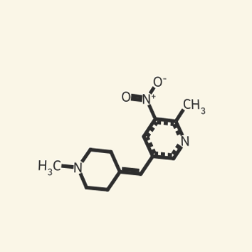 Cc1ncc(C=C2CCN(C)CC2)cc1[N+](=O)[O-]